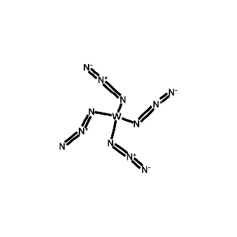 [N-]=[N+]=[N][W]([N]=[N+]=[N-])([N]=[N+]=[N-])[N]=[N+]=[N-]